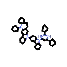 C1=Cc2cc3c(cc2N(c2ccccc2)c2ccccc21)c1ccccc1n3-c1ccc2c(c1)c1ccccc1n2C1=CC(c2ccccc2)NC(c2ccccc2)N1